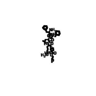 COCCOC(=O)C1(N)CCN(C(=O)[C@@H](CCCCN)NC(=O)[C@@H](CC(C)C)NC(=O)[C@@H](Cc2ccccc2)NC(=O)[C@H](N)Cc2ccccc2)C1